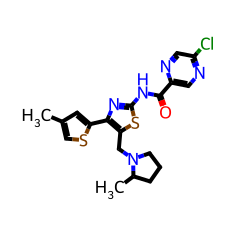 Cc1csc(-c2nc(NC(=O)c3cnc(Cl)cn3)sc2CN2CCCC2C)c1